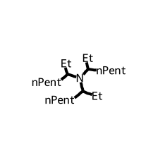 CCCCCC(CC)N(C(CC)CCCCC)C(CC)CCCCC